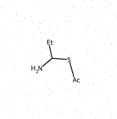 C[CH]C(N)SC(C)=O